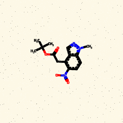 Cn1ncc2c(CC(=O)OC(C)(C)C)c([N+](=O)[O-])ccc21